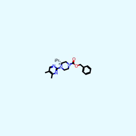 Cc1cnc(N2CCN(C(=O)OCc3ccccc3)C[C@H]2C(C)C)nc1C